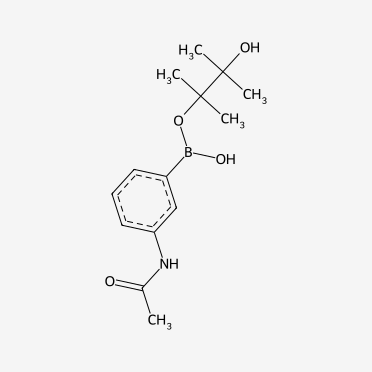 CC(=O)Nc1cccc(B(O)OC(C)(C)C(C)(C)O)c1